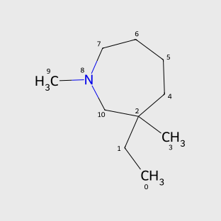 CCC1(C)CCCCN(C)C1